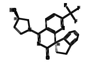 O=C1N=C(N2CC[C@@H](O)C2)c2ccc(C(F)(F)F)nc2[C@]12CCc1ccccc12